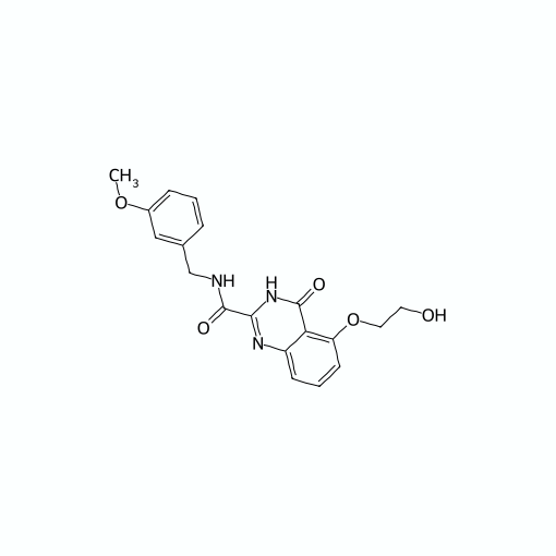 COc1cccc(CNC(=O)c2nc3cccc(OCCO)c3c(=O)[nH]2)c1